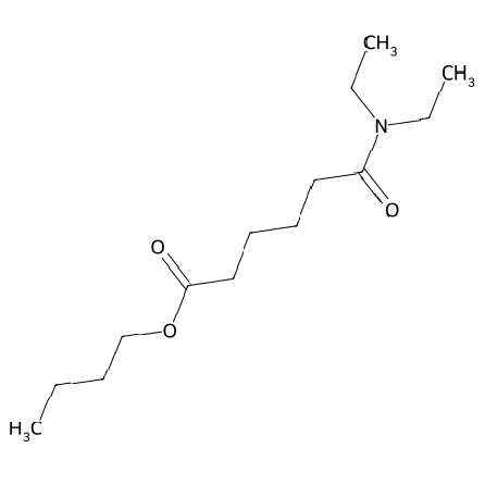 CCCCOC(=O)CCCCC(=O)N(CC)CC